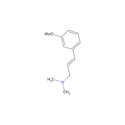 COc1cccc(C=CCN(C)C)c1